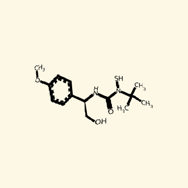 COc1ccc([C@H](CO)NC(=O)N(S)C(C)(C)C)cc1